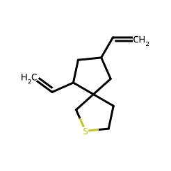 C=CC1CC(C=C)C2(CCSC2)C1